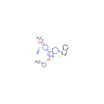 C=CC(=O)N1CCN(c2nc(OC[C@@H]3CCCN3C)nc3c2CCCN(c2c(F)ccc4ccccc24)C3)C[C@@H]1CC#N